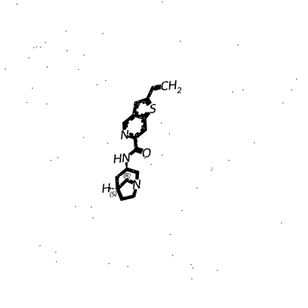 C=Cc1cc2cnc(C(=O)N[C@@H]3C[C@@H]4CCN(C4)C3)cc2s1